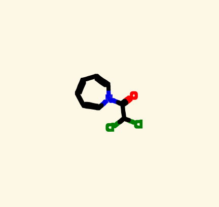 O=C(C(Cl)Cl)N1C=CC=CC=C1